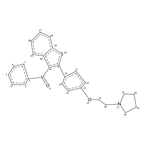 O=C(c1ccccc1)c1c(-c2ccc(OCCN3CCCC3)cc2)sc2ccccc12